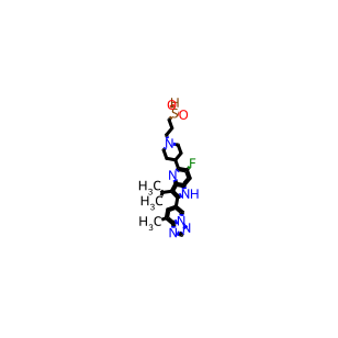 Cc1cc(-c2[nH]c3cc(F)c(C4CCN(CCC[SH](=O)=O)CC4)nc3c2C(C)C)cn2ncnc12